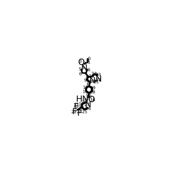 C=CC(=O)N1CCC(c2cc(-c3ccc(C(=O)Nc4cc(C(F)(F)F)ccn4)cc3)n3cnccc23)C1